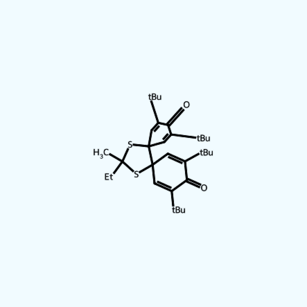 CCC1(C)SC2(C=C(C(C)(C)C)C(=O)C(C(C)(C)C)=C2)C2(C=C(C(C)(C)C)C(=O)C(C(C)(C)C)=C2)S1